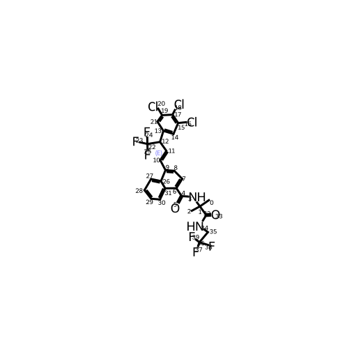 CC(C)(NC(=O)c1ccc(/C=C/C(c2cc(Cl)c(Cl)c(Cl)c2)C(F)(F)F)c2ccccc12)C(=O)NCC(F)(F)F